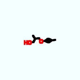 CC(CO)COC1C2C(C)C12